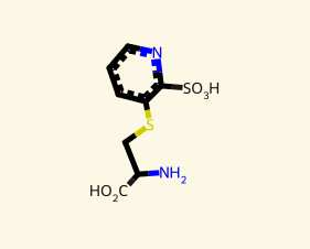 NC(CSc1cccnc1S(=O)(=O)O)C(=O)O